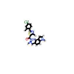 Cc1cc(Cl)ccc1-c1nc(C)c(C(=O)NN(C)Cc2ccc3c(ccn3C)c2)s1